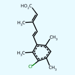 CC(/C=C/c1c(C)cc(C)c(Cl)c1C)=C\C(=O)O